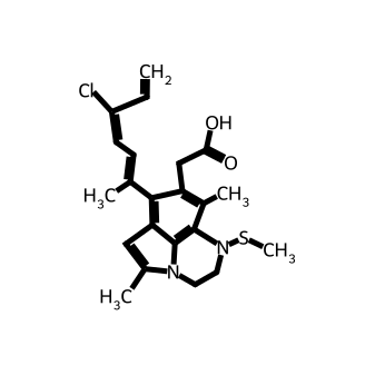 C=C/C(Cl)=C\C=C(/C)c1c(CC(=O)O)c(C)c2c3c1cc(C)n3CCN2SC